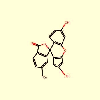 CC(C)(C)c1ccc2c(c1)C1(OC2=O)c2ccc(O)cc2Oc2cc(O)ccc21